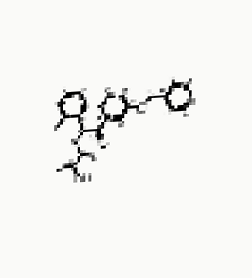 Cc1ccccc1C(CC(C)C(=O)O)C(=O)c1cccc(OCc2ccncc2)c1